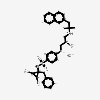 CC(C)(Cc1ccc2ccccc2c1)NC[C@@H](O)COc1ccc(S(=O)(=O)NC2(Cc3ccccc3)C(Cl)C2C#N)cc1.Cl